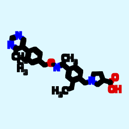 CCc1cc(C(C)=NOCc2ccc(-c3cncnc3C)c(C)c2)ccc1CN1CCC(C(=O)O)C1